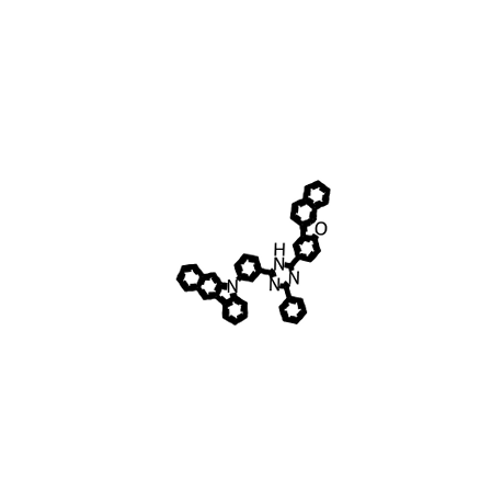 c1ccc(C2=NC(c3ccc4oc5c6ccccc6ccc5c4c3)NC(c3cccc(-n4c5ccccc5c5cc6ccccc6cc54)c3)=N2)cc1